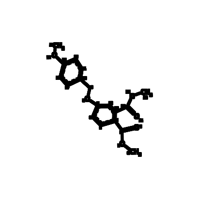 COC(=O)c1ccc(OCc2ccc(OC)cc2)cc1C(=O)OC